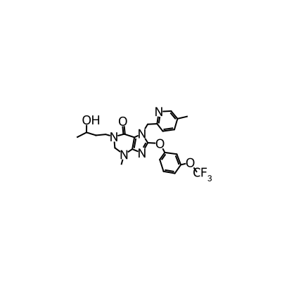 Cc1ccc(Cn2c(Oc3cccc(OC(F)(F)F)c3)nc3c2C(=O)N(CCC(C)O)CN3C)nc1